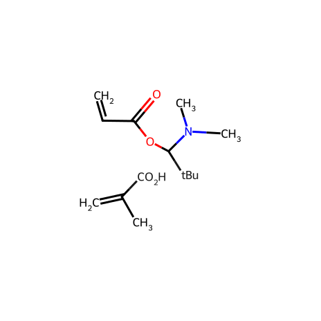 C=C(C)C(=O)O.C=CC(=O)OC(N(C)C)C(C)(C)C